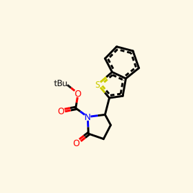 CC(C)(C)OC(=O)N1C(=O)CCC1c1cc2ccccc2s1